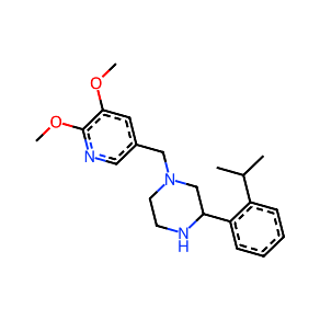 COc1cc(CN2CCNC(c3ccccc3C(C)C)C2)cnc1OC